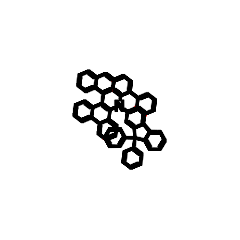 c1ccc(-c2ccccc2N(c2ccc3c(c2)C(c2ccccc2)(c2ccccc2)c2ccccc2-3)c2c(-c3cccc4ccccc34)c3ccccc3c3ccccc23)cc1